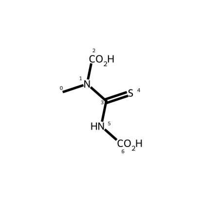 CN(C(=O)O)C(=S)NC(=O)O